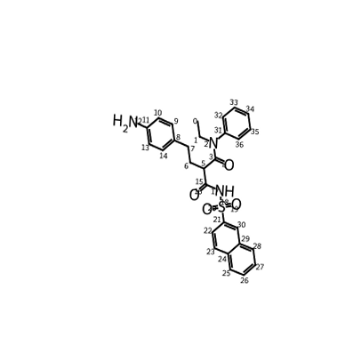 CCN(C(=O)C(CCc1ccc(N)cc1)C(=O)NS(=O)(=O)c1ccc2ccccc2c1)c1ccccc1